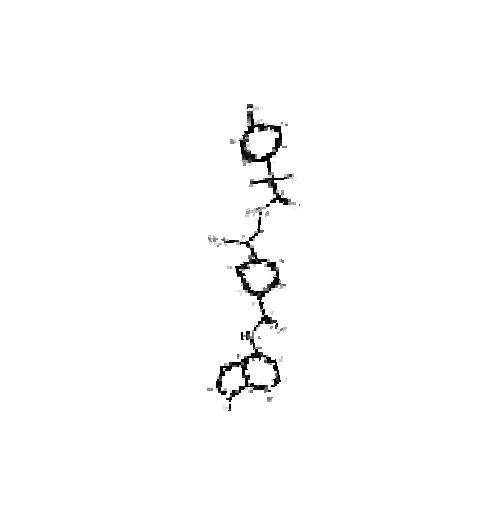 CC(C)(C(=O)NCC(N)c1ccc(C(=O)Nc2ccnc3[nH]ccc23)cc1)c1ccc(F)cc1